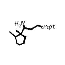 CCCCCCCCCC(N)C1(C)CCCCC1C